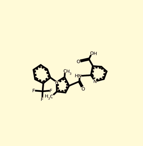 Cc1cc(C(=O)Nc2ncccc2C(=O)O)c(C)n1-c1ccccc1C(F)(F)F